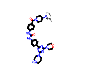 CN(C)C1CCN(C(=O)c2ccc(NC(=O)Nc3ccc(-c4nc(N5CCCNCC5)nc(N5CCOCC5)n4)cc3)cc2)CC1